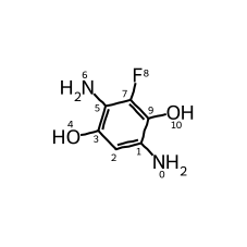 Nc1cc(O)c(N)c(F)c1O